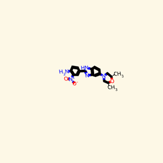 C[C@@H]1CN(c2ccc3[nH]c(-c4ccc(N)c([N+](=O)[O-])c4)nc3c2)C[C@H](C)O1